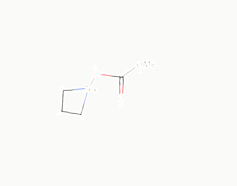 COC(=O)ON1CCC1